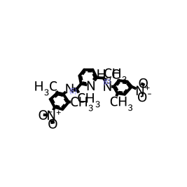 C/C(=N\c1c(C)cc([N+](=O)[O-])cc1C)c1cccc(/C(C)=N/c2c(C)cc([N+](=O)[O-])cc2C)n1